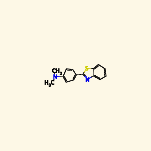 CN(C)c1ccc(-c2nc3ccccc3s2)cc1